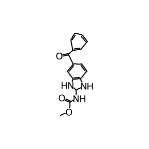 COC(=O)NC1Nc2ccc(C(=O)c3ccccc3)cc2N1